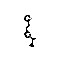 O=C(C1CC1)n1ccc(/C=C/c2ccco2)n1